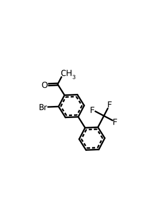 CC(=O)c1ccc(-c2ccccc2C(F)(F)F)cc1Br